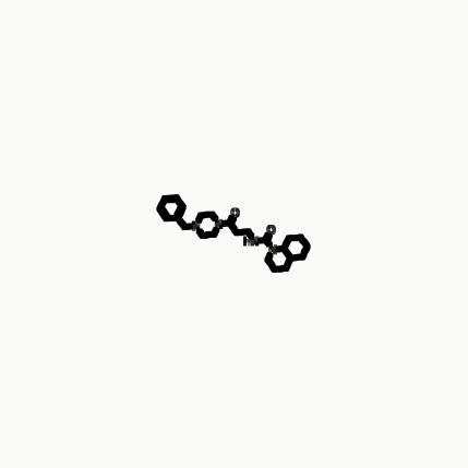 O=C(CCNC(=O)N1CCCC2CCCCC21)N1CCN(Cc2ccccc2)CC1